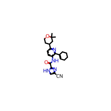 CC1(C)CC(c2ccc(NC(=O)c3nc(C#N)c[nH]3)c(C3=CCCCC3)n2)CCO1